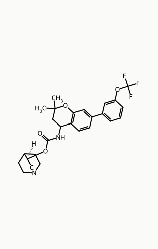 CC1(C)CC(NC(=O)O[C@H]2CN3CCC2CC3)c2ccc(-c3cccc(OC(F)(F)F)c3)cc2O1